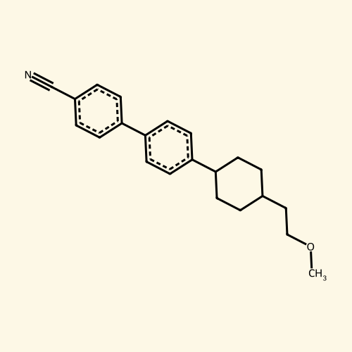 COCCC1CCC(c2ccc(-c3ccc(C#N)cc3)cc2)CC1